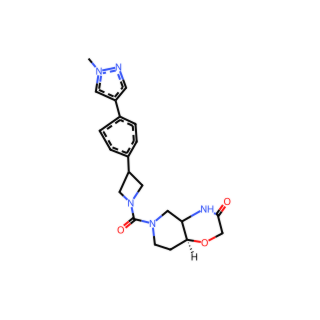 Cn1cc(-c2ccc(C3CN(C(=O)N4CC[C@@H]5OCC(=O)NC5C4)C3)cc2)cn1